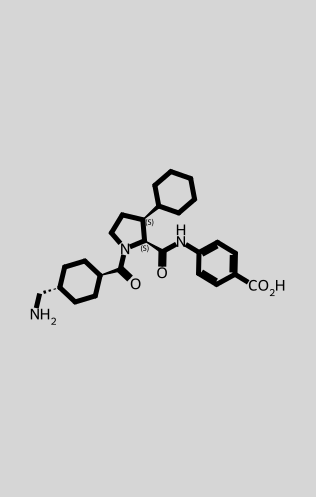 NC[C@H]1CC[C@H](C(=O)N2CC[C@@H](C3CCCCC3)[C@H]2C(=O)Nc2ccc(C(=O)O)cc2)CC1